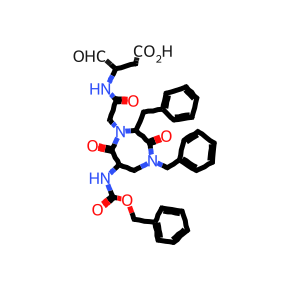 O=CC(CC(=O)O)NC(=O)CN1C(=O)C(NC(=O)OCc2ccccc2)CN(Cc2ccccc2)C(=O)C1Cc1ccccc1